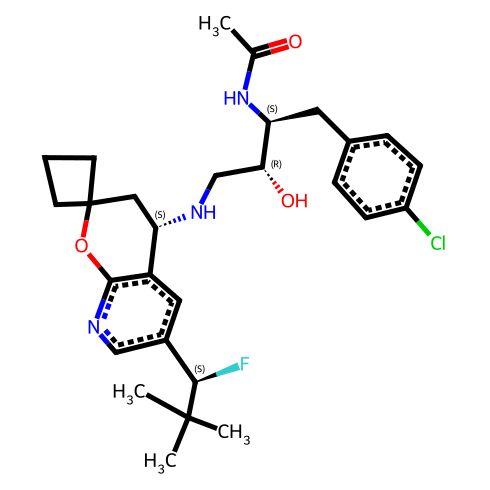 CC(=O)N[C@@H](Cc1ccc(Cl)cc1)[C@H](O)CN[C@H]1CC2(CCC2)Oc2ncc([C@@H](F)C(C)(C)C)cc21